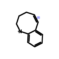 C1=C\c2ccccc2[N]CCC/1